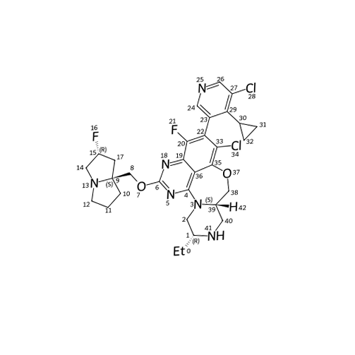 CC[C@@H]1CN2c3nc(OC[C@@]45CCCN4C[C@H](F)C5)nc4c(F)c(-c5cncc(Cl)c5C5CC5)c(Cl)c(c34)OC[C@@H]2CN1